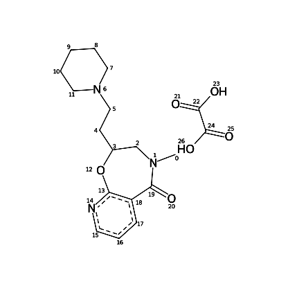 CN1CC(CCN2CCCCC2)Oc2ncccc2C1=O.O=C(O)C(=O)O